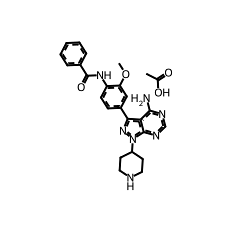 CC(=O)O.COc1cc(-c2nn(C3CCNCC3)c3ncnc(N)c23)ccc1NC(=O)c1ccccc1